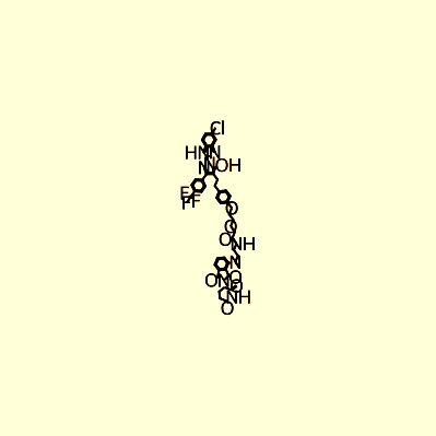 CN(CCNC(=O)COCCOc1ccc(CCc2c(-c3ccc(C(F)(F)F)cc3)nn(-c3nc4cc(Cl)ccc4[nH]3)c2O)cc1)c1cccc2c1C(=O)N(C1CCC(=O)NC1=O)C2=O